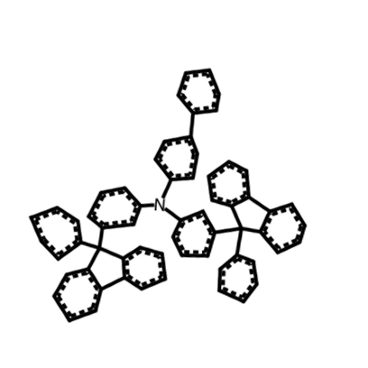 c1ccc(-c2ccc(N(c3cccc(C4(c5ccccc5)c5ccccc5-c5ccccc54)c3)c3cccc(C4(c5ccccc5)c5ccccc5-c5ccccc54)c3)cc2)cc1